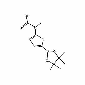 CN(C(=O)O)c1ccc(B2OC(C)(C)C(C)(C)O2)s1